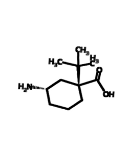 CC(C)(C)[C@@]1(C(=O)O)CCC[C@H](N)C1